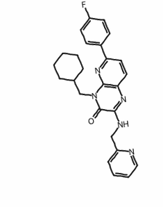 O=c1c(NCc2ccccn2)nc2ccc(-c3ccc(F)cc3)nc2n1CC1CCCCC1